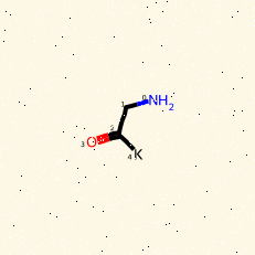 NC[C](=O)[K]